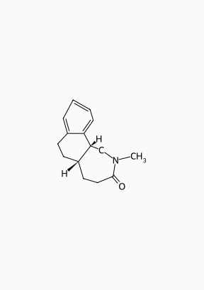 CN1C[C@H]2c3ccccc3CC[C@H]2CCC1=O